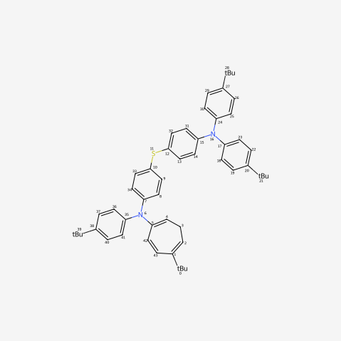 CC(C)(C)C1=CCC=C(N(c2ccc(Sc3ccc(N(c4ccc(C(C)(C)C)cc4)c4ccc(C(C)(C)C)cc4)cc3)cc2)c2ccc(C(C)(C)C)cc2)C=C1